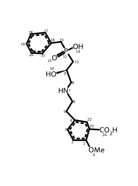 COc1ccc(CCNC[C@@H](O)CP(=O)(O)Cc2ccccc2)cc1C(=O)O